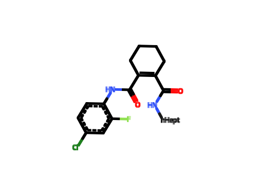 CCCCCCCNC(=O)C1=C(C(=O)Nc2ccc(Cl)cc2F)CCCC1